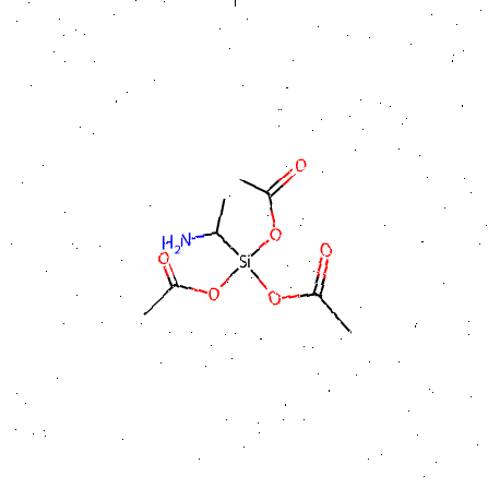 CC(=O)O[Si](OC(C)=O)(OC(C)=O)C(C)N